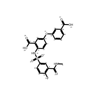 CNC(=O)c1cc(S(=O)(=O)Nc2ccc(Oc3cccc(C(=O)O)c3)cc2C(=O)O)ccc1F